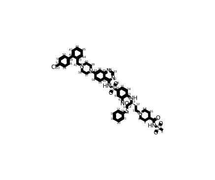 CS(=O)(=O)NC(=O)C1CCN(CC[C@H](CSc2ccccc2)Nc2ccc(S(=O)(=O)Nc3ncnc4cc(N5CCN(Cc6ccccc6-c6ccc(Cl)cc6)CC5)ccc34)cc2[N+](=O)[O-])CC1